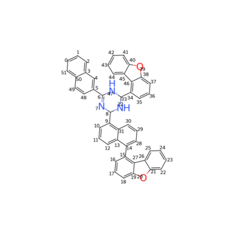 c1ccc2cc(C3=NC(c4cccc5c(-c6cccc7oc8ccccc8c67)cccc45)NC(c4cccc5oc6ccccc6c45)N3)ccc2c1